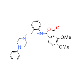 COc1ccc2c(c1OC)C(=O)OC2Nc1ccccc1CCN1CCN(c2ccccc2)CC1